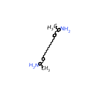 CCCc1cc(N)ccc1Cc1ccc(CCCCCCCCCCCCCCc2ccc(Cc3ccc(N)cc3CCC)cc2)cc1